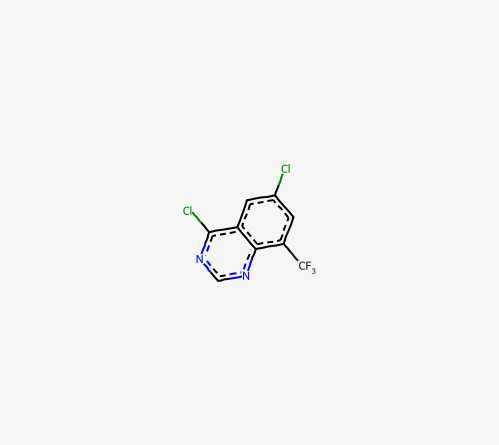 FC(F)(F)c1cc(Cl)cc2c(Cl)ncnc12